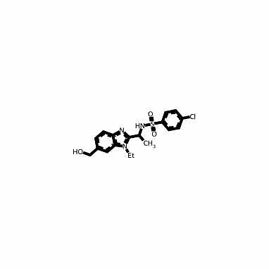 CCn1c(C(C)NS(=O)(=O)c2ccc(Cl)cc2)nc2ccc(CO)cc21